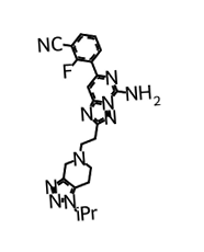 CC(C)n1nnc2c1CCN(CCc1nc3cc(-c4cccc(C#N)c4F)nc(N)n3n1)C2